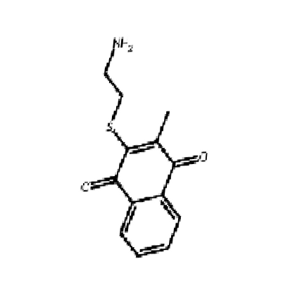 CC1=C(SCCN)C(=O)c2ccccc2C1=O